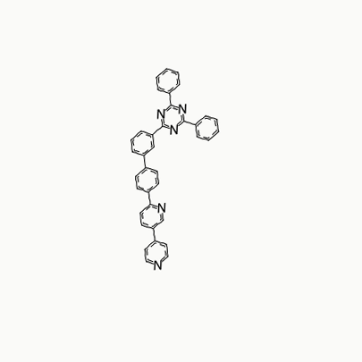 c1ccc(-c2nc(-c3ccccc3)nc(-c3cccc(-c4ccc(-c5ccc(-c6ccncc6)cn5)cc4)c3)n2)cc1